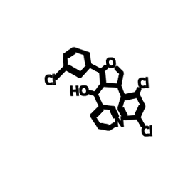 OC(C1=C(c2cccc(Cl)c2)OCC1c1ccc(Cl)cc1Cl)c1cccnc1